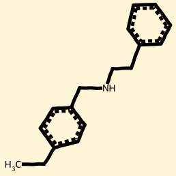 CCc1ccc(CNCCc2ccccc2)cc1